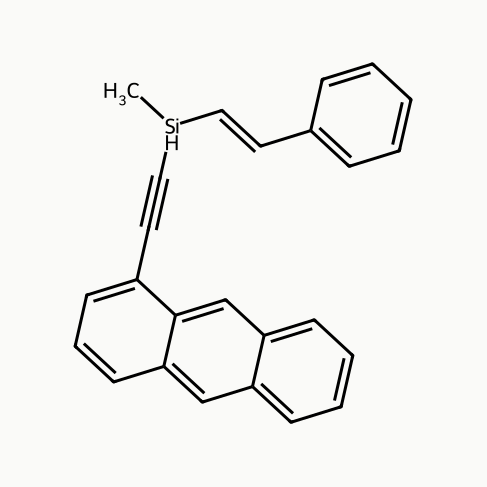 C[SiH](C#Cc1cccc2cc3ccccc3cc12)C=Cc1ccccc1